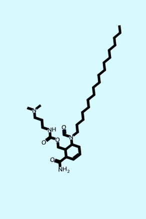 CCCCCCCCCCCCCCCCCCN(C=O)C1CC=CC(C(N)=O)C1COC(=O)NCCCN(C)C